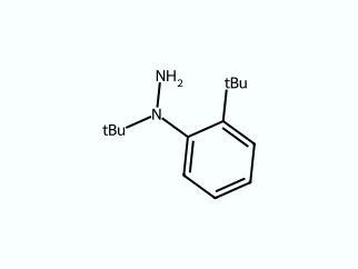 CC(C)(C)c1ccccc1N(N)C(C)(C)C